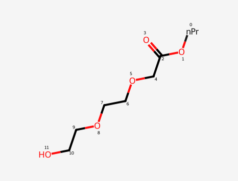 CCCOC(=O)COCCOCCO